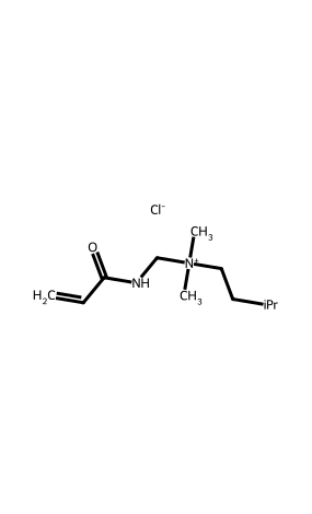 C=CC(=O)NC[N+](C)(C)CCC(C)C.[Cl-]